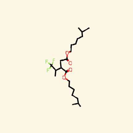 CC(C)CCCCCOC(=O)CC(C(=O)OCCCCCC(C)C)C(C)C(F)(F)F